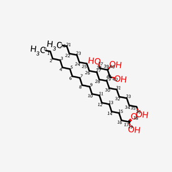 CCCCCCCCCCCCCCCCCC(=O)O.CCCCCCCCCCCCCCCCO.OCC(O)CO